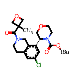 CC(C)(C)OC(=O)N1CCOC[C@H]1c1cc(Cl)cc2c1CN(C(=O)C1(C)COC1)CC2